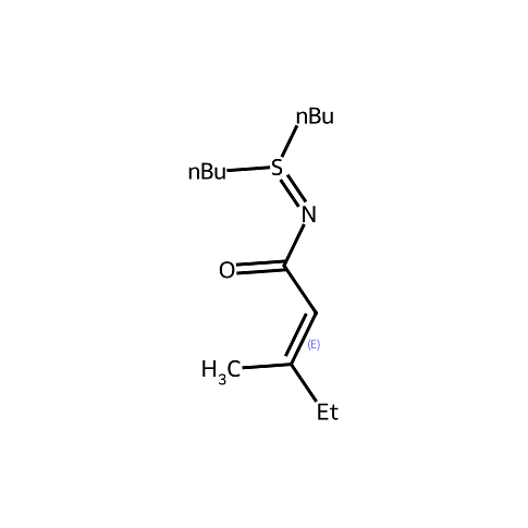 CCCCS(CCCC)=NC(=O)/C=C(\C)CC